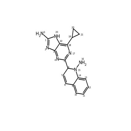 Nc1nc2nc(C3C=Cc4ccccc4N3N)nc(C3CC3)c2[nH]1